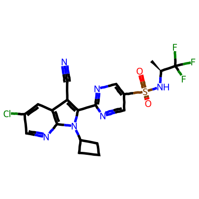 C[C@H](NS(=O)(=O)c1cnc(-c2c(C#N)c3cc(Cl)cnc3n2C2CCC2)nc1)C(F)(F)F